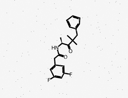 C[C@H](NC(=O)Cc1cc(F)cc(F)c1)C(=O)C(C)(C)Cc1ccccc1